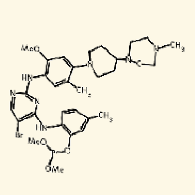 COc1cc(N2CCC(N3CCN(C)CC3)CC2)c(C)cc1Nc1ncc(Br)c(Nc2ccc(C)cc2OP(OC)OC)n1